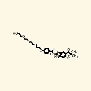 CC(C)(C)C(=O)c1ccc2[nH]c(NC(=O)c3ccc(OCCOCCOCCOCCO)cc3)nc2c1